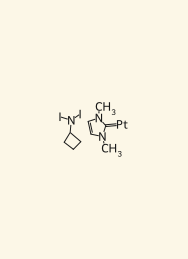 Cn1ccn(C)[c]1=[Pt].IN(I)C1CCC1